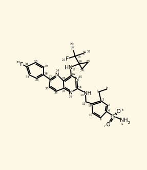 CCc1cc(S(N)(=O)=O)ccc1CNc1nc(NC2(C(F)(F)F)CC2)c2nc(-c3ccc(F)cc3)ccc2n1